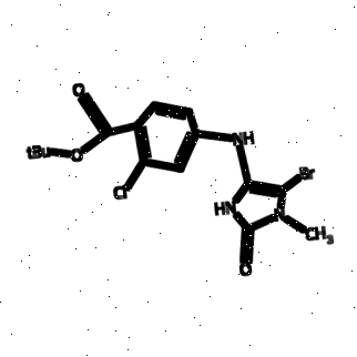 Cn1c(Br)c(Nc2ccc(C(=O)OC(C)(C)C)c(Cl)c2)[nH]c1=O